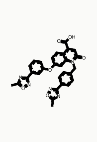 Cc1nc(-c2ccc(Cn3c(=O)cc(C(=O)O)c4ccc(Oc5cccc(-c6noc(C)n6)c5)cc43)cc2)no1